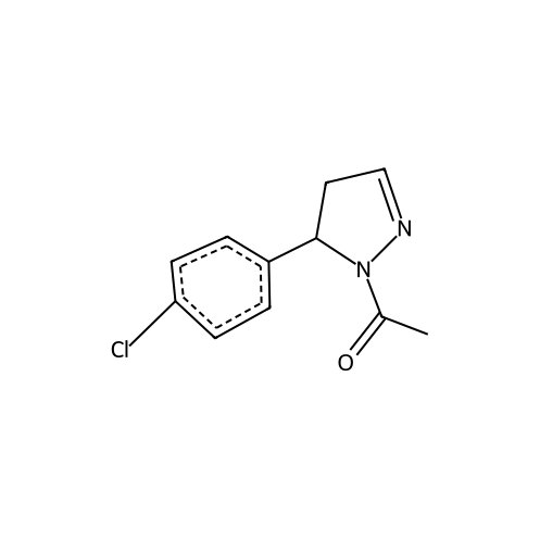 CC(=O)N1N=CCC1c1ccc(Cl)cc1